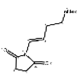 CCCCCCCC/C=C/N1C(=O)CCC1=O